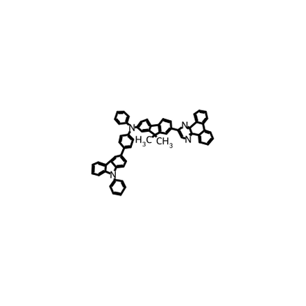 CC1(C)c2cc(-c3cnc4c5ccccc5c5ccccc5c4n3)ccc2-c2ccc(N(c3ccccc3)c3ccc(-c4ccc5c(c4)c4ccccc4n5-c4ccccc4)cc3)cc21